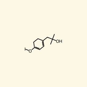 CC(C)(O)CC1=CC=C(OI)CC1